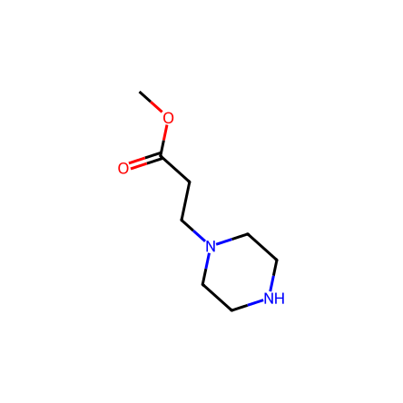 COC(=O)CCN1CCNCC1